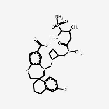 CC(CC(=O)N(C)C[C@@H]1CC[C@H]1CN1CC2(CCCc3cc(Cl)ccc32)COc2ccc(C(=O)O)cc21)C(C)S(N)(=O)=O